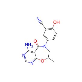 CC1CN(c2ccc(O)c(C#N)c2)C(=O)c2c(N)ncnc2O1